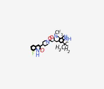 C=C(C)c1cc2c(c3cn[nH]c13)CN(CC(F)(F)F)C(=O)[C@H](CC(=O)N1CCC(c3cc4cccc(F)c4[nH]c3=O)CC1)C2